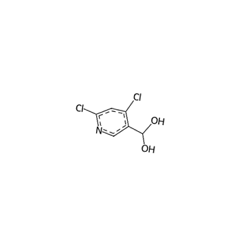 OC(O)c1cnc(Cl)cc1Cl